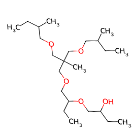 CCC(C)COCC(C)(COCC(C)CC)COCC(CC)OCC(O)CC